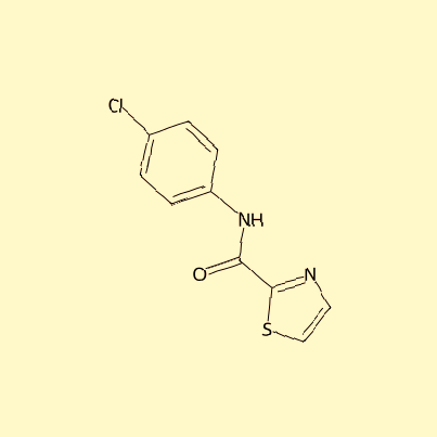 O=C(Nc1ccc(Cl)cc1)c1nccs1